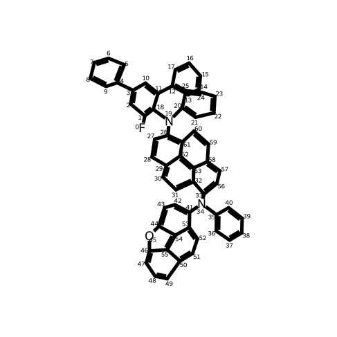 Fc1cc(-c2ccccc2)cc(-c2ccccc2)c1N(c1ccccc1)c1ccc2ccc3c(N(c4ccccc4)c4ccc5oc6cccc7ccc4c5c76)ccc4ccc1c2c43